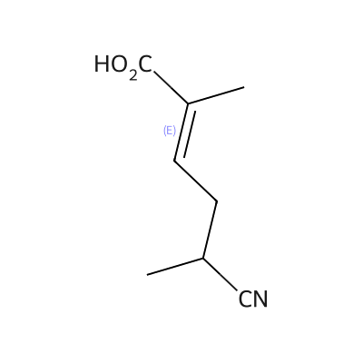 C/C(=C\CC(C)C#N)C(=O)O